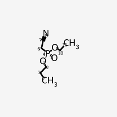 CCCOP(=O)(CC#N)OCC